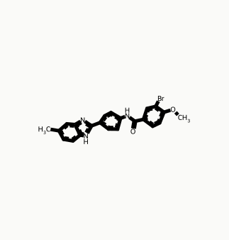 COc1ccc(C(=O)Nc2ccc(-c3nc4cc(C)ccc4[nH]3)cc2)cc1Br